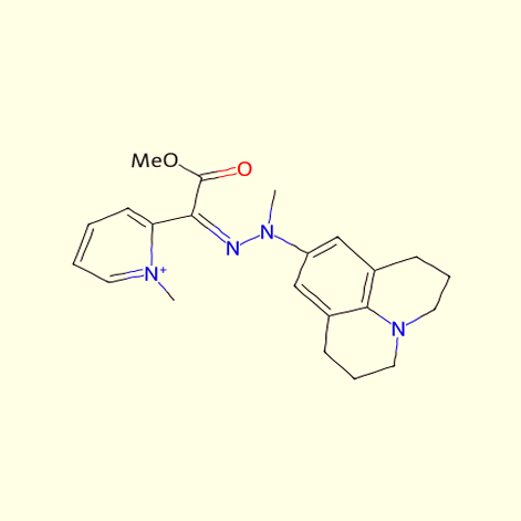 COC(=O)/C(=N\N(C)c1cc2c3c(c1)CCCN3CCC2)c1cccc[n+]1C